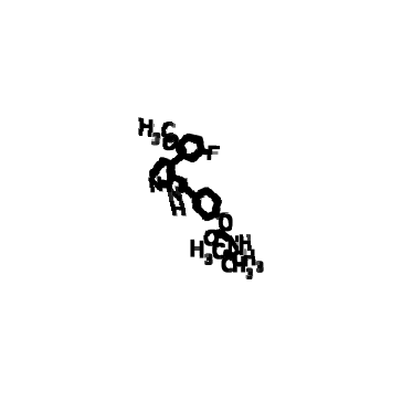 COc1ccc(F)cc1-c1ccnc2[nH]c(C3=CCC(OC(=O)NC(C)(C)C)CC3)cc12